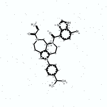 C=CC(=O)N1CCc2nn(-c3ccc(C(C)C)cc3)c3c2[C@@H](C1)N(C(=O)c1ccc(Br)c2[nH]cnc12)CC3